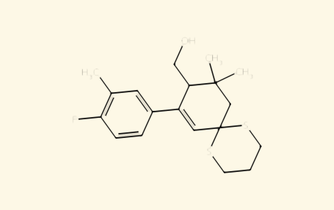 Cc1cc(C2=CC3(CC(C)(C)C2CO)SCCCS3)ccc1F